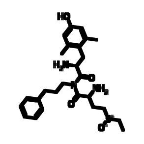 CC[S+]([O-])CCC(N)C(=O)N(CCCc1ccccc1)C(=O)[C@@H](N)Cc1c(C)cc(O)cc1C